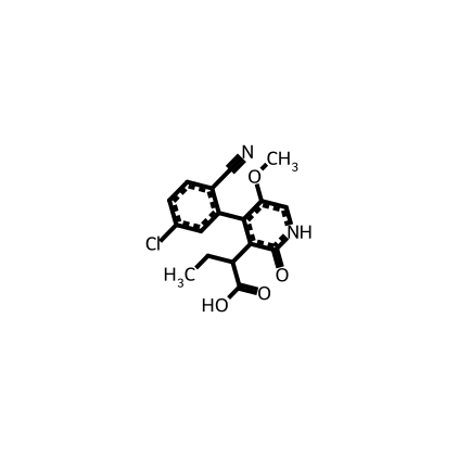 CCC(C(=O)O)c1c(-c2cc(Cl)ccc2C#N)c(OC)c[nH]c1=O